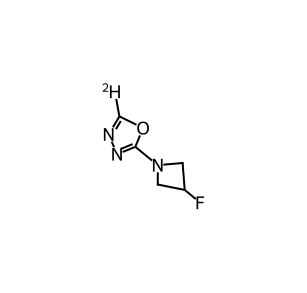 [2H]c1nnc(N2CC(F)C2)o1